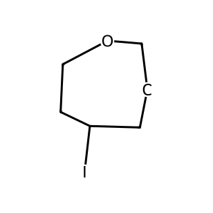 IC1CCCOCC1